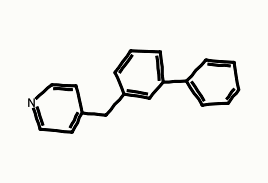 c1ccc(-c2cccc(Cc3ccncc3)c2)cc1